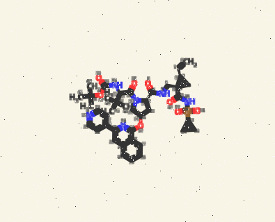 C=C[C@@H]1C[C@]1(CNC(=O)[C@@H]1C[C@@H](Oc2nc(-c3ccncc3)cc3ccccc23)CN1C(=O)[C@@H](NC(=O)OC(C)(C)C)C(C)(C)C)C(=O)NS(=O)(=O)C1CC1